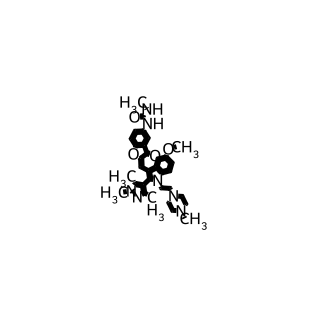 CNC(=O)Nc1ccc2c(c1)C(=O)C(=Cc1c(-c3c(C)nn(C)c3C)n(CCN3CCN(C)CC3)c3ccc(OC)cc13)O2